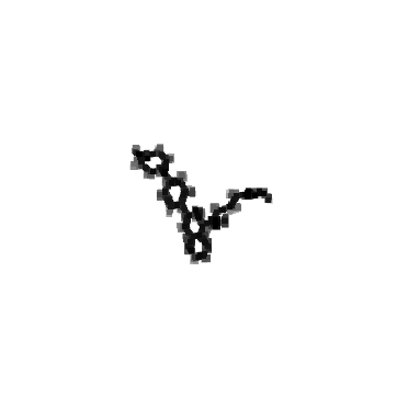 CN1CCN(c2ccc(-c3cc4nccnc4c(NCCCN)n3)cc2)CC1